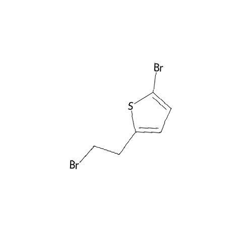 BrCCc1ccc(Br)s1